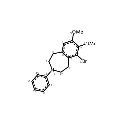 COc1cc2c(c(Br)c1OC)CCN(c1ccccc1)CC2